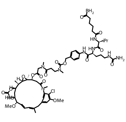 BC(=O)CCCCC(=O)N[C@H](C(=O)N[C@@H](CCCNC(N)=O)C(=O)Nc1ccc(COC(=O)N(C)CCC(=O)N(C)CC(=O)O[C@H]2CC(=O)N(C)c3cc(cc(OC)c3Cl)C/C(C)=C/C=C/[C@@H](OC)[C@@]3(O)C[C@H](OC(=O)N3)[C@@H](C)[C@@H]3O[C@@]23C)cc1)C(C)C